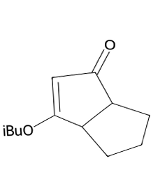 CC(C)COC1=CC(=O)C2CCCC12